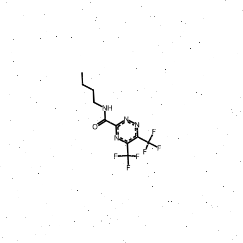 CCCCNC(=O)c1nnc(C(F)(F)F)c(C(F)(F)F)n1